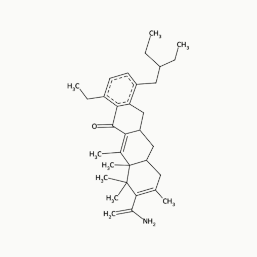 C=C(N)C1=C(C)CC2CC3Cc4c(CC(CC)CC)ccc(CC)c4C(=O)C3=C(C)C2(C)C1(C)C